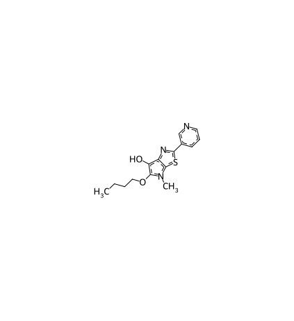 CCCCOc1c(O)c2nc(-c3cccnc3)sc2n1C